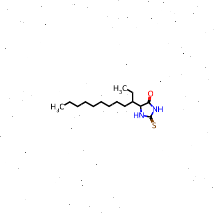 CCCCCCCCCC(CC)C1NC(=S)NC1=O